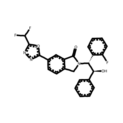 O=C1c2cc(-c3nnc(C(F)F)o3)ccc2CN1[C@H](c1ccccc1F)[C@@H](O)c1ccccc1